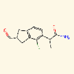 CC(C(N)=O)c1ccc2c(c1F)CC(C=O)C2